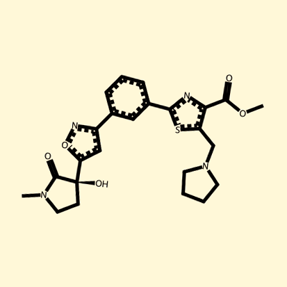 COC(=O)c1nc(-c2cccc(-c3cc([C@]4(O)CCN(C)C4=O)on3)c2)sc1CN1CCCC1